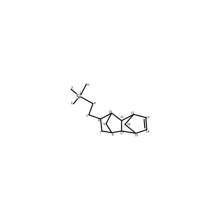 C[Si](C)(C)CCC1CC2CC1C1C3C=CC(C3)C21